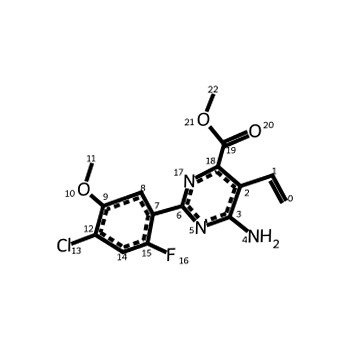 C=Cc1c(N)nc(-c2cc(OC)c(Cl)cc2F)nc1C(=O)OC